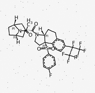 CC(=O)N1[C@@H]2CC[C@H]1C[C@@H](C(=O)N1CC[C@@]3(S(=O)(=O)c4ccc(F)cc4)c4ccc(C(F)(C(F)(F)F)C(F)(F)F)cc4CC[C@@H]13)C2